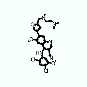 COc1cc(Nc2c(C#N)cnc3cc(-c4coc(CN(C)CCN(C)C)c4)c(OC)cc23)c(Cl)cc1Cl